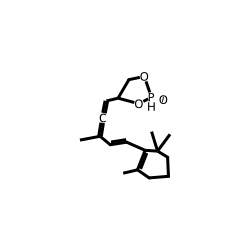 CC(=C=CC1CO[PH](=O)O1)/C=C/C1=C(C)CCCC1(C)C